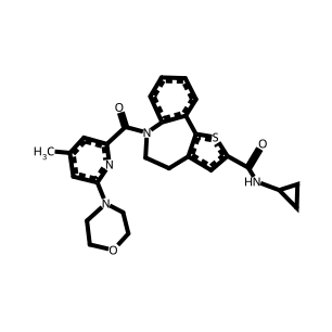 Cc1cc(C(=O)N2CCc3cc(C(=O)NC4CC4)sc3-c3ccccc32)nc(N2CCOCC2)c1